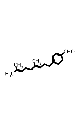 CC(C)=CCC/C(C)=C/CCC1=CC=C(C=O)CC1